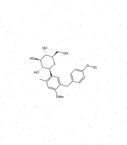 CCOc1ccc(Cc2cc([C@@H]3S[C@H](CO)[C@@H](O)[C@H](O)[C@H]3O)c(C)cc2OC)cc1